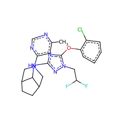 Cc1cc(N2CC3CCC(C2)C3Nc2nc(Oc3ccccc3Cl)n(CC(F)F)n2)ncn1